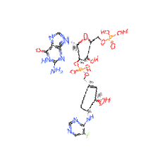 Nc1nc2c(ncn2[C@@H]2OC(COP(=O)(O)O)[C@@H](O)[C@H]2OP(=O)(O)OC[C@@H]2C[C@@H](O)[C@H](Nc3ncncc3F)C2)c(=O)[nH]1